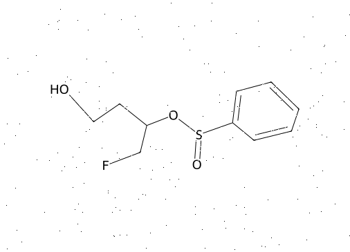 O=S(OC(CF)CCO)c1ccccc1